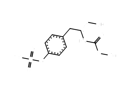 CC(C)(C)OC(=O)N[C@@H](CO)Cc1ccc(OS(=O)(=O)C(F)(F)F)cc1